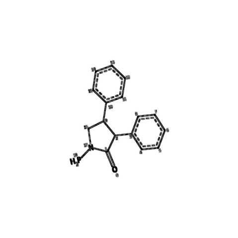 O=C1C(c2ccccc2)C(c2ccccc2)CN1P